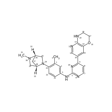 Cc1cc(Nc2nccc(-c3cnc4c(c3)OCCN4)n2)ccc1N1C[C@@H]2C[C@H]1CN2C